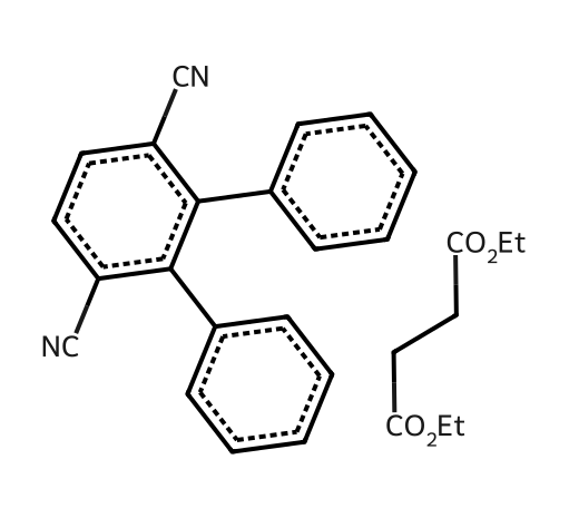 CCOC(=O)CCC(=O)OCC.N#Cc1ccc(C#N)c(-c2ccccc2)c1-c1ccccc1